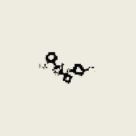 Cn1c(-c2ccccc2C(F)(F)F)nnc1C1(Oc2ccc(C(F)(F)F)cc2)CCC1